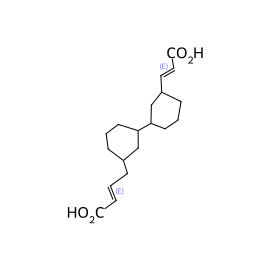 O=C(O)/C=C/CC1CCCC(C2CCCC(/C=C/C(=O)O)C2)C1